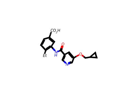 CCc1ccc(C(=O)O)cc1NC(=O)c1cncc(OCC2CC2)c1